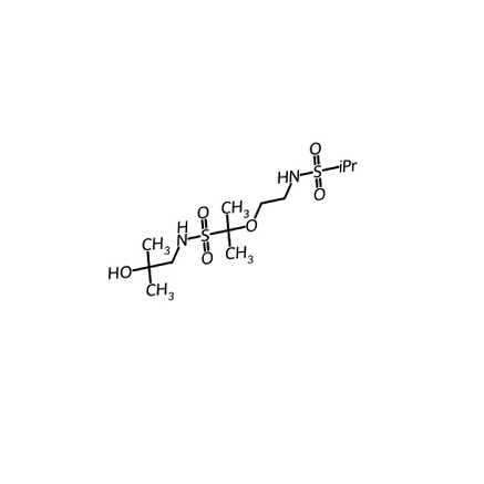 CC(C)S(=O)(=O)NCCOC(C)(C)S(=O)(=O)NCC(C)(C)O